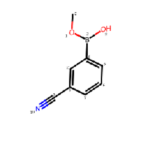 COB(O)c1cccc(C#N)c1